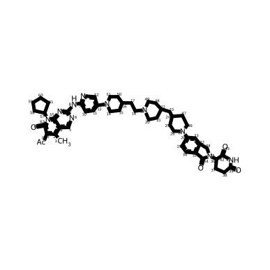 CC(=O)c1c(C)c2cnc(Nc3ccc(N4CCC(CCN5CCC(CC6CCN(c7ccc8c(c7)CN(C7CCC(=O)NC7=O)C8=O)CC6)CC5)CC4)cn3)nc2n(C2CCCC2)c1=O